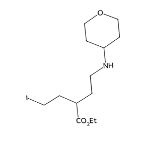 CCOC(=O)C(CCI)CCNC1CCOCC1